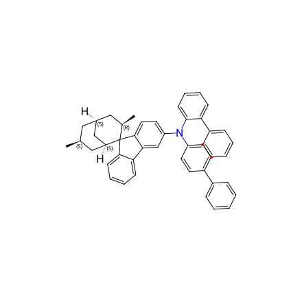 C[C@H]1C[C@@H]2C[C@H](C1)C1(c3ccccc3-c3cc(N(c4ccc(-c5ccccc5)cc4)c4ccccc4-c4ccccc4)ccc31)[C@H](C)C2